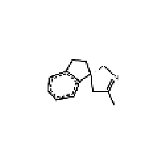 CC1=NC[C@]2(CCc3ccccc32)C1